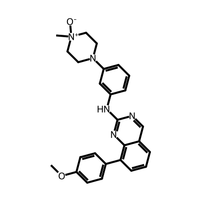 COc1ccc(-c2cccc3cnc(Nc4cccc(N5CC[N+](C)([O-])CC5)c4)nc23)cc1